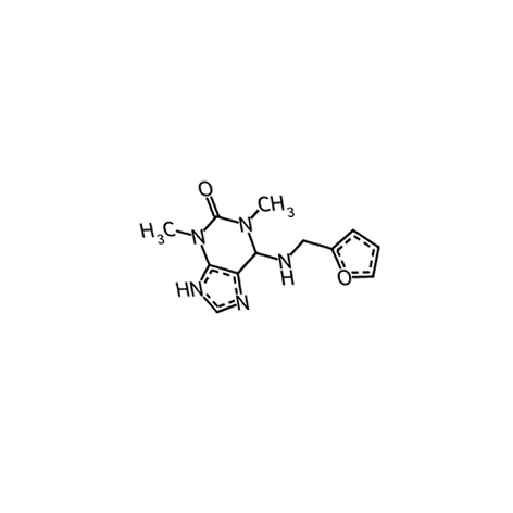 CN1C(=O)N(C)C(NCc2ccco2)c2nc[nH]c21